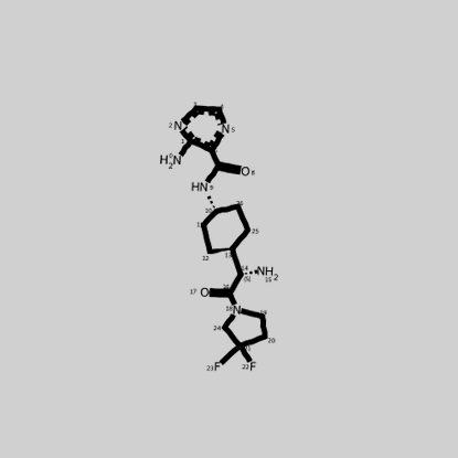 Nc1nccnc1C(=O)N[C@H]1CC[C@H]([C@H](N)C(=O)N2CCC(F)(F)C2)CC1